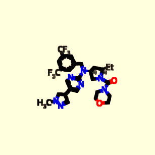 CC[C@@H]1C[C@H](N(Cc2cc(C(F)(F)F)cc(C(F)(F)F)c2)c2ncc(C3C=NN(C)C3)cn2)CN1C(=O)N1CCOCC1